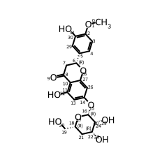 COc1ccc([C@H]2CC(=O)c3c(O)cc(O[C@H]4O[C@@H](CO)C[C@@H](O)[C@H]4O)cc3O2)cc1O